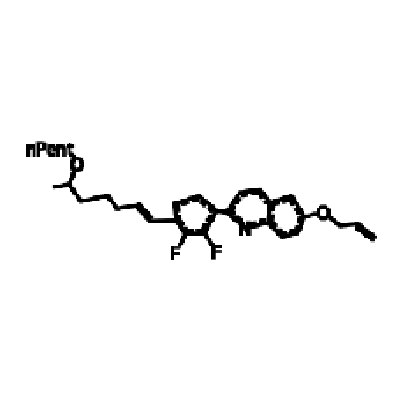 C=CCOc1ccc2nc(-c3ccc(C=CCCCC(C)OCCCCC)c(F)c3F)ccc2c1